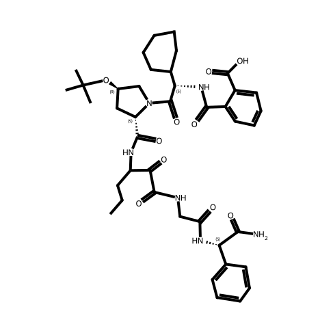 CCCC(NC(=O)[C@@H]1C[C@@H](OC(C)(C)C)CN1C(=O)[C@@H](NC(=O)c1ccccc1C(=O)O)C1CCCCC1)C(=O)C(=O)NCC(=O)N[C@H](C(N)=O)c1ccccc1